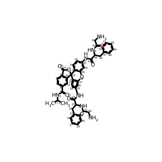 CC(C)NC(=O)c1ccc2c(c1)C1(OC2=O)c2ccc(NC(=O)C(Cc3ccccc3)NC(=O)CN)cc2Oc2cc(NC(=O)C(Cc3ccccc3)NC(=O)CN)ccc21